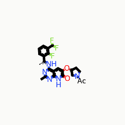 CC(=O)N1CC[C@H](Oc2cc3c(N[C@H](C)c4cccc(C(F)F)c4F)nc(C)nc3[nH]c2=O)C1